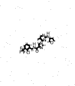 Cc1cnc(NC2CCOC2)nc1-n1cnc(C(=O)NCc2cccc(C(F)(F)F)c2Cl)c1